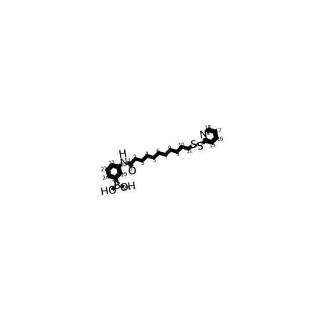 O=C(CCCCCCCCCCSSc1ccccn1)Nc1cccc(B(O)O)c1